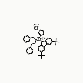 CC(C)(C)c1ccc2c(c1)-c1cc(C(C)(C)C)ccc1[CH]2/[Zr+2]([C]1=CC=CC1)=[C](\CCc1ccccc1)Cc1ccccc1.[Cl-].[Cl-]